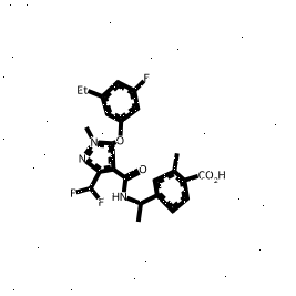 CCc1cc(F)cc(Oc2c(C(=O)NC(C)c3ccc(C(=O)O)c(C)c3)c(C(F)F)nn2C)c1